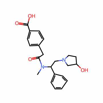 CN(C(=O)Cc1ccc(C(=O)O)cc1)C(CN1CCC(O)C1)c1ccccc1